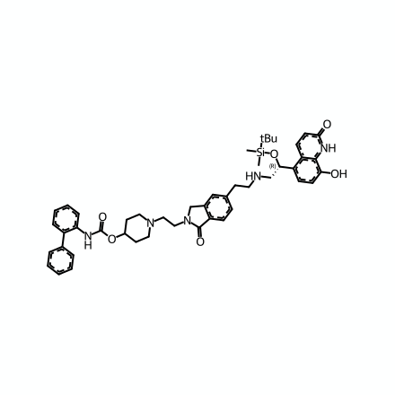 CC(C)(C)[Si](C)(C)O[C@@H](CNCCc1ccc2c(c1)CN(CCN1CCC(OC(=O)Nc3ccccc3-c3ccccc3)CC1)C2=O)c1ccc(O)c2[nH]c(=O)ccc12